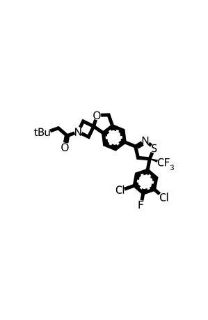 CC(C)(C)CC(=O)N1CC2(C1)OCc1cc(C3=NS[C@@](c4cc(Cl)c(F)c(Cl)c4)(C(F)(F)F)C3)ccc12